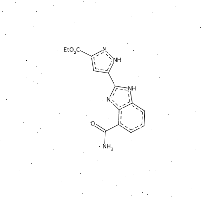 CCOC(=O)c1cc(-c2nc3c(C(N)=O)cccc3[nH]2)[nH]n1